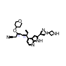 C=C/C(=C\C=C(/CC#N)OC1CCOCC1)c1ccnc2[nH]c(-c3cnn(C4CNC4)c3)cc12